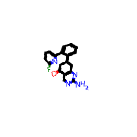 Nc1ncc2c(n1)CC(c1ccccc1-c1cccc(F)n1)CC2=O